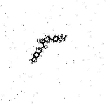 CC(C)S(=O)(=O)c1ccc(-c2cnc3[nH]cc(C(=O)NCc4ccc5c(c4)OCC5)c3n2)cc1